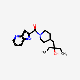 CCC(O)(CC)CC1CCN(C(=O)c2cc3ncccc3[nH]2)CC1